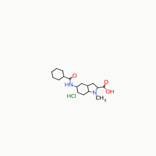 CN1C(C(=O)O)CC2CC(NC(=O)C3CCCCC3)CCC21.Cl